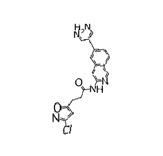 C/N=C\C(=C/N)c1ccc2cnc(NC(=O)CCc3cc(Cl)no3)cc2c1